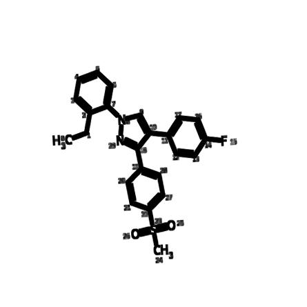 CCc1ccccc1-n1cc(-c2ccc(F)cc2)c(-c2ccc(S(C)(=O)=O)cc2)n1